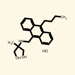 CCCCc1c2ccccc2c(CNC(C)(CO)CO)c2ccccc12.Cl